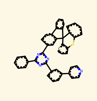 c1ccc(-c2nc(-c3cccc(-c4ccncc4)c3)nc(-c3ccc4c(c3)C3(c5ccccc5Sc5ccccc53)c3ccccc3-4)n2)cc1